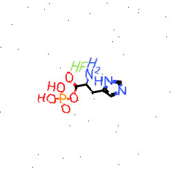 F.N[C@@H](Cc1cnc[nH]1)C(=O)OP(=O)(O)O